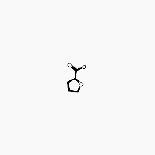 [O]C(=O)C1CCCO1